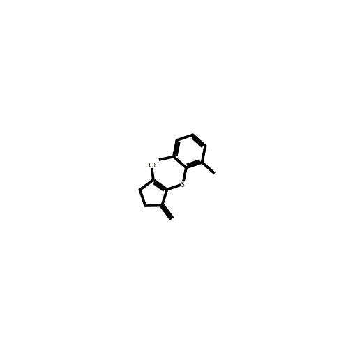 C=C1CCC(O)=C1Sc1c(C)cccc1C